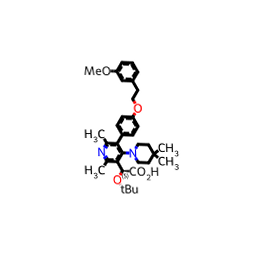 COc1cccc(CCOc2ccc(-c3c(C)nc(C)c([C@H](OC(C)(C)C)C(=O)O)c3N3CCC(C)(C)CC3)cc2)c1